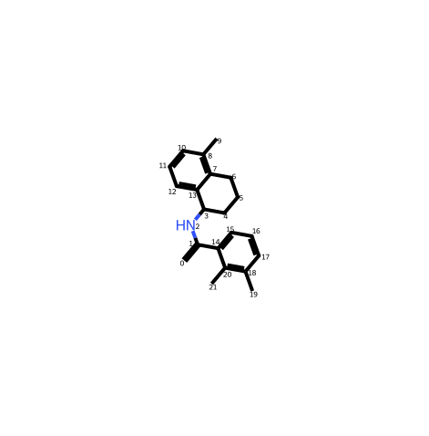 C=C(NC1CCCc2c(C)cccc21)c1cccc(C)c1C